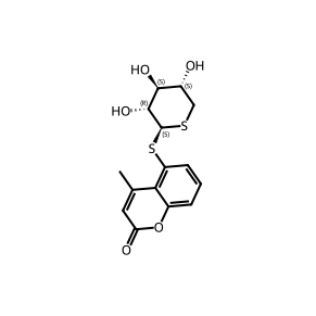 Cc1cc(=O)oc2cccc(S[C@@H]3SC[C@@H](O)[C@H](O)[C@H]3O)c12